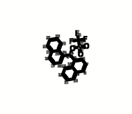 O=S(=O)(O[I+](c1cccc2ccccc12)c1cccc2ccccc12)C(F)(F)F